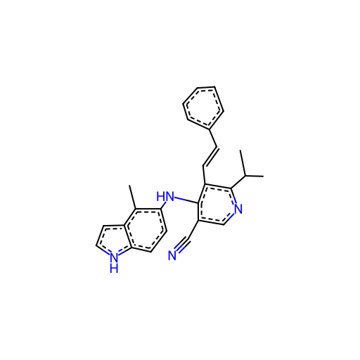 Cc1c(Nc2c(C#N)cnc(C(C)C)c2C=Cc2ccccc2)ccc2[nH]ccc12